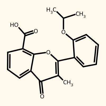 Cc1c(-c2ccccc2OC(C)C)oc2c(C(=O)O)cccc2c1=O